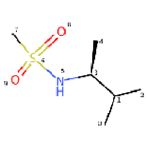 CC(C)[C@H](C)NS(C)(=O)=O